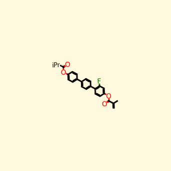 C=C(C)C(=O)Oc1ccc(-c2ccc(-c3ccc(OC(=O)C(C)C)cc3)cc2)c(F)c1